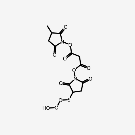 CC1CC(=O)N(OC(=O)CC(=O)ON2C(=O)CC(SOOO)C2=O)C1=O